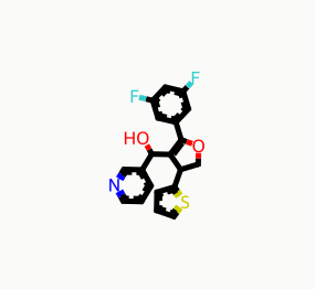 OC(C1=C(c2cc(F)cc(F)c2)OCC1c1cccs1)c1cccnc1